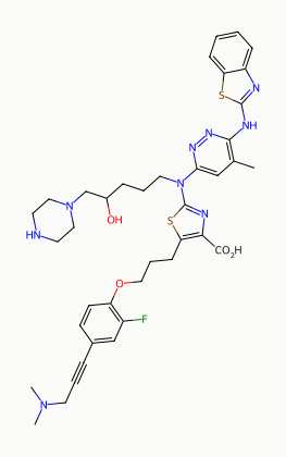 Cc1cc(N(CCCC(O)CN2CCNCC2)c2nc(C(=O)O)c(CCCOc3ccc(C#CCN(C)C)cc3F)s2)nnc1Nc1nc2ccccc2s1